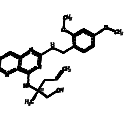 C=CC[C@](C)(CO)Nc1nc(NCc2ccc(OC)cc2OC)nc2cccnc12